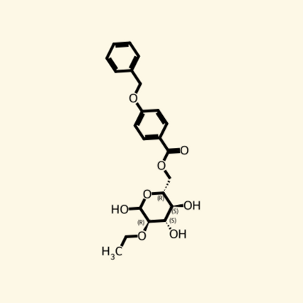 CCO[C@H]1C(O)O[C@H](COC(=O)c2ccc(OCc3ccccc3)cc2)[C@@H](O)[C@@H]1O